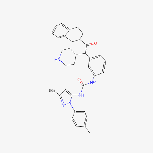 Cc1ccc(-n2nc(C(C)(C)C)cc2NC(=O)Nc2cccc(C(C(=O)C3CCc4ccccc4C3)C3CCNCC3)c2)cc1